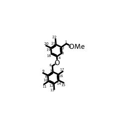 COCc1cc(OCc2c(C)c(C)c(C)c(C)c2C)cc(C)c1C